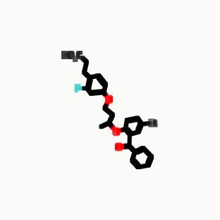 CCc1ccc(OC(C)CCOc2ccc(CCC(=O)O)c(F)c2)c(C(=O)c2ccccc2)c1